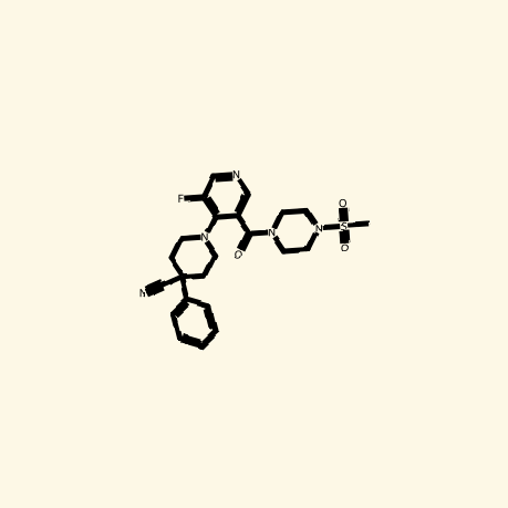 CS(=O)(=O)N1CCN(C(=O)c2cncc(F)c2N2CCC(C#N)(c3ccccc3)CC2)CC1